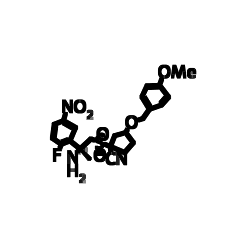 COc1ccc(COC2CCC(C#N)(S(=O)(=O)C[C@](C)(N)c3cc([N+](=O)[O-])ccc3F)C2)cc1